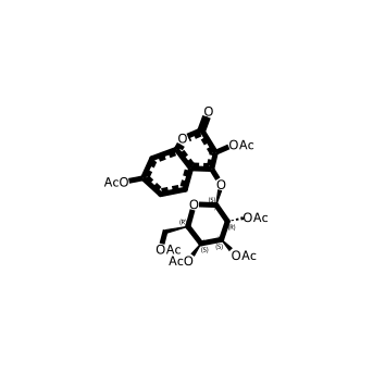 CC(=O)OC[C@H]1O[C@@H](Oc2c(OC(C)=O)c(=O)oc3cc(OC(C)=O)ccc23)[C@H](OC(C)=O)[C@@H](OC(C)=O)[C@H]1OC(C)=O